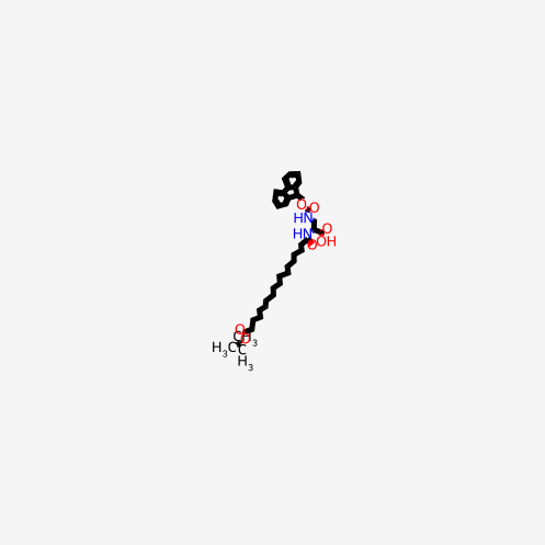 CC(C)(C)OC(=O)CCCCCCCCCCCCCCCCC(=O)NC(CNC(=O)OCC1c2ccccc2-c2ccccc21)C(=O)O